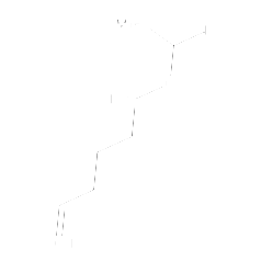 C=CCCC[SiH2]OC(CC)OC